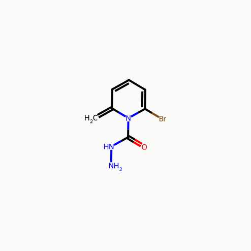 C=C1C=CC=C(Br)N1C(=O)NN